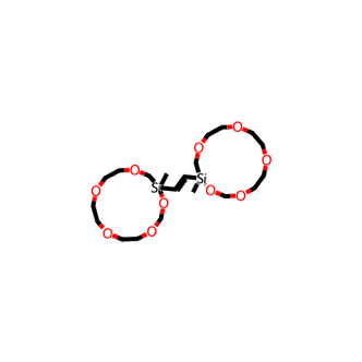 C[Si]1(/C=C/[Si]2(C)COCCOCCOCCOCO2)COCCOCCOCCOCO1